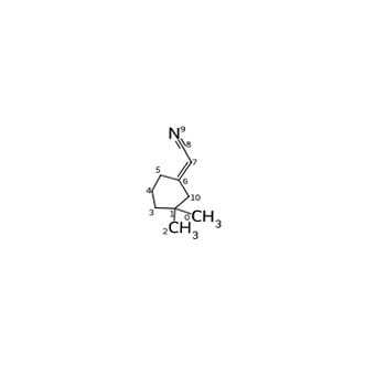 CC1(C)CCC/C(=C\C#N)C1